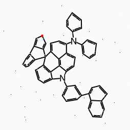 c1ccc(N(c2ccccc2)c2ccc3c4c2ccc2c4c4c(cccc4n2-c2cccc(-c4cccc5ccccc45)c2)C32c3ccccc3-c3ccccc32)cc1